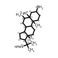 BC1CCC2(C)C3CCC4(C)C(CCC4C(C)(C)CCCCCC)C3CC(C)C2(C(C)C)C1